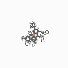 O=C=C1Cc2cc(-c3nccs3)cc(NC(=O)c3cc(F)cc(C(F)(F)F)c3)c2C(c2cc(F)ccc2Cl)CN1